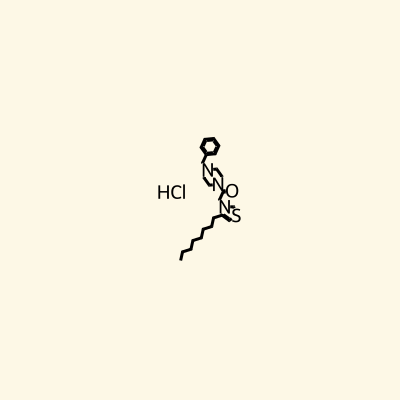 CCCCCCCCC1=CSCN1CC(=O)N1CCN(Cc2ccccc2)CC1.Cl